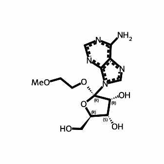 COCCO[C@@]1(n2cnc3c(N)ncnc32)O[C@H](CO)[C@@H](O)[C@H]1O